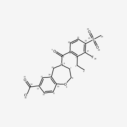 CCc1c(C(=O)N2CCOc3ccc(C(=O)Cl)cc3C2)ccc(S(C)(=O)=O)c1F